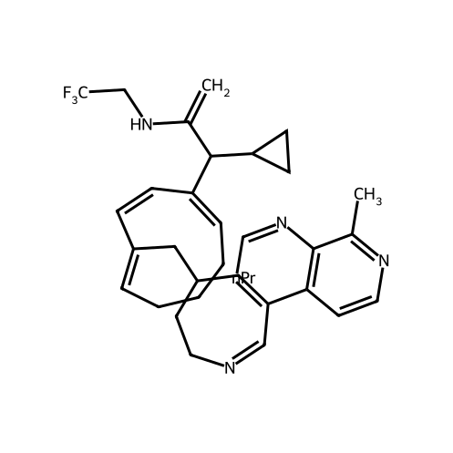 C=C(NCC(F)(F)F)C(C1=C/CCC/C=C(CC2C=C(c3ccnc(C)c3/N=C\CCC)C=NCC2)/C=C\1)C1CC1